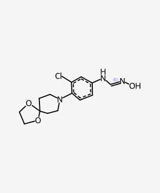 O/N=C/Nc1ccc(N2CCC3(CC2)OCCO3)c(Cl)c1